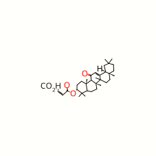 CC1(C)CC[C@]2(C)CCC3(C)C(=CC(=O)C4[C@@]5(C)CC[C@H](OC(=O)/C=C\C(=O)O)C(C)(C)C5CC[C@]43C)[C@@H]2C1